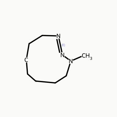 CN1CCCCCCC/N=N/1